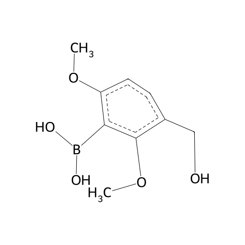 COc1ccc(CO)c(OC)c1B(O)O